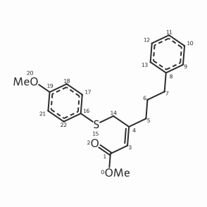 COC(=O)C=C(CCCc1ccccc1)CSc1ccc(OC)cc1